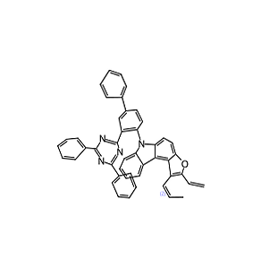 C=Cc1oc2ccc3c(c4ccccc4n3-c3ccc(-c4ccccc4)cc3-c3nc(-c4ccccc4)nc(-c4ccccc4)n3)c2c1/C=C\C